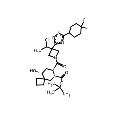 CC(C)C1(c2nnc(C3CCC(F)(F)CC3)o2)CN(C(=O)[C@@H]2C[C@@H](O)C3(CCC3)CN2C(=O)OC(C)(C)C)C1